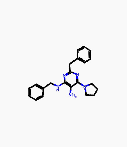 Nc1c(NCc2ccccc2)nc(Cc2ccccc2)nc1N1CCCC1